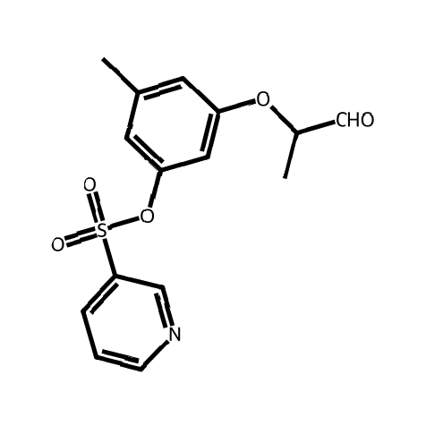 Cc1cc(OC(C)C=O)cc(OS(=O)(=O)c2cccnc2)c1